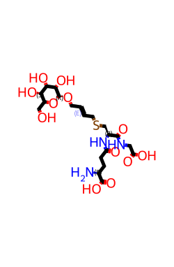 N[C@@H](CCC(=O)N[C@@H](CSC/C=C/CO[C@@H]1OC(CO)[C@@H](O)C(O)C1O)C(=O)NCC(=O)O)C(=O)O